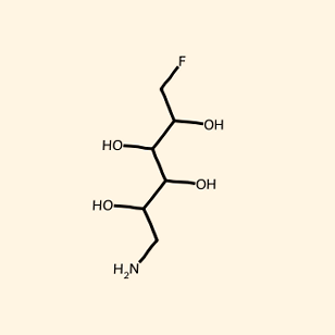 NCC(O)C(O)C(O)C(O)CF